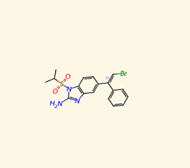 CC(C)S(=O)(=O)n1c(N)nc2cc(/C(=C/Br)c3ccccc3)ccc21